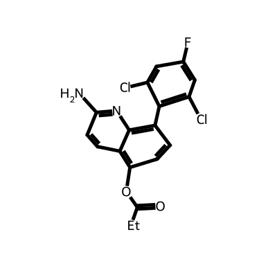 CCC(=O)Oc1ccc(-c2c(Cl)cc(F)cc2Cl)c2nc(N)ccc12